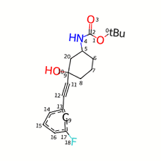 CC(C)(C)OC(=O)NC1CCCC(O)(C#Cc2cccc(F)c2)C1